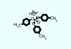 Cc1ccc(OP(=O)(Oc2ccc(C)cc2)Oc2ccc(C)cc2)cc1.[Na+].[OH-]